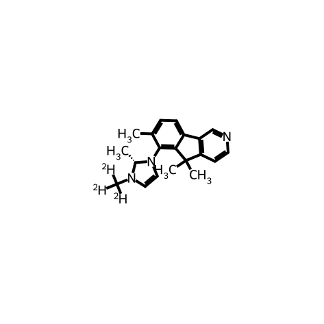 [2H]C([2H])([2H])N1C=CN(c2c(C)ccc3c2C(C)(C)c2ccncc2-3)[C@H]1C